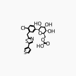 O=C(O)OC[C@H]1O[C@@H](c2ccc(Cl)c(Cc3ncc(-c4ccsc4)s3)c2)[C@H](O)[C@@H](O)[C@@H]1O